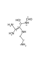 NCCNC(=C(N)N)C(O)NC=O